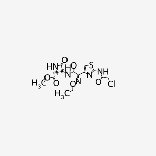 CCON=C(C(=O)N[C@H]1C(=O)N[C@H]1C(=O)OC)c1csc(NC(=O)CCl)n1